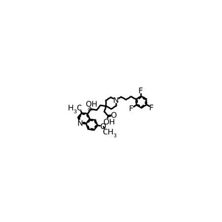 COc1ccc2ncc(C)c([C@H](O)CCC3(CC(=O)O)CCN(CCCc4c(F)cc(F)cc4F)CC3)c2c1